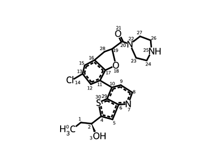 CC[C@H](O)c1cc2nccc(-c3cc(Cl)cc4c3OC(C(=O)N3CCNCC3)C4)c2s1